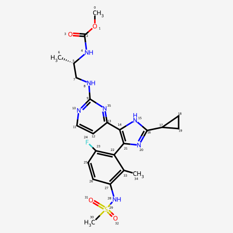 COC(=O)N[C@@H](C)CNc1nccc(-c2[nH]c(C3CC3)nc2-c2c(F)ccc(NS(C)(=O)=O)c2C)n1